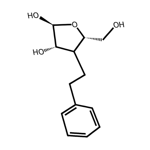 OC[C@H]1O[C@H](O)[C@@H](O)C1CCc1ccccc1